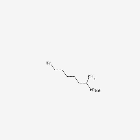 CCCCCC(C)CCCCCC(C)C